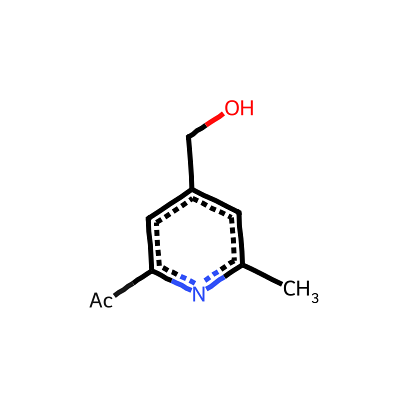 CC(=O)c1cc(CO)cc(C)n1